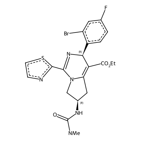 CCOC(=O)C1=C2C[C@@H](NC(=O)NC)CN2C(c2nccs2)=N[C@H]1c1ccc(F)cc1Br